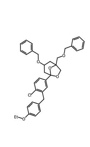 CCOc1ccc(Cc2cc(C34CC(OCc5ccccc5)CC(COCc5ccccc5)(CO3)O4)ccc2Cl)cc1